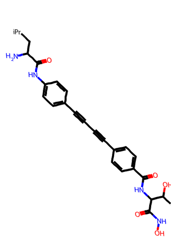 CC(C)CC(N)C(=O)Nc1ccc(C#CC#Cc2ccc(C(=O)NC(C(=O)NO)C(C)O)cc2)cc1